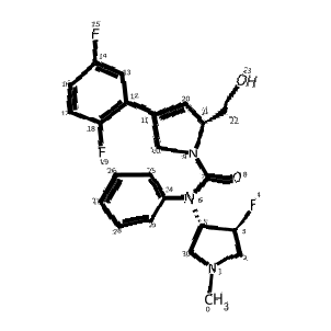 CN1C[C@H](F)[C@@H](N(C(=O)N2CC(c3cc(F)ccc3F)=C[C@H]2CO)c2ccccc2)C1